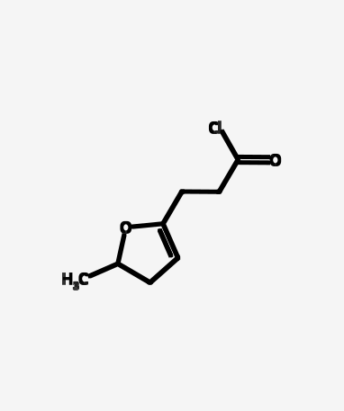 CC1CC=C(CCC(=O)Cl)O1